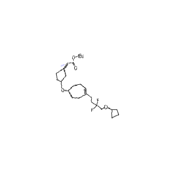 CC(C)(C)OC(=O)/C=C1/CCC(OC2CCC=C(CCC(F)(F)COC3CCC3)CC2)C1